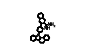 N=C(N)C1Cc2ccccc2C=C1c1ccc(-n2c3ccccc3c3ccc4ccccc4c32)cc1